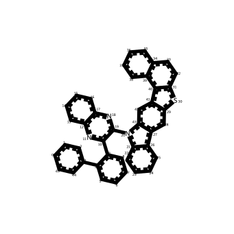 c1ccc(-c2ccccc2-c2nc3ccccc3nc2-n2c3ccccc3c3cc4sc5ccc6ccccc6c5c4cc32)cc1